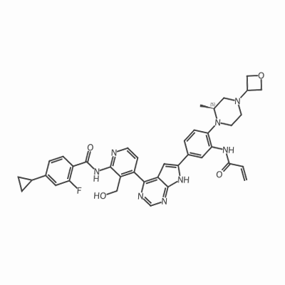 C=CC(=O)Nc1cc(-c2cc3c(-c4ccnc(NC(=O)c5ccc(C6CC6)cc5F)c4CO)ncnc3[nH]2)ccc1N1CCN(C2COC2)C[C@@H]1C